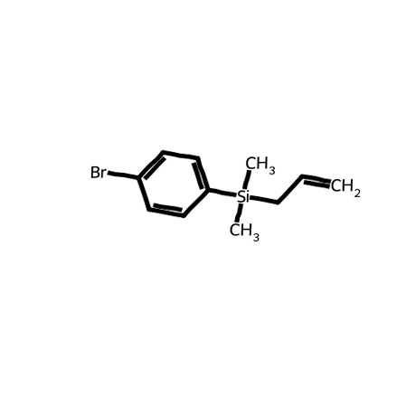 C=CC[Si](C)(C)c1ccc(Br)cc1